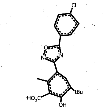 Cc1c(-c2noc(-c3ccc(Cl)cc3)n2)cc(C(C)(C)C)c(O)c1C(=O)O